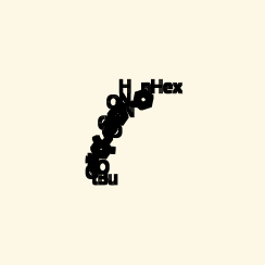 CCCCCC[C@@H]1CCC[C@H](C2=NC3(CCN(S(=O)(=O)CCc4c(C)cc(N(C)C(=O)OC(C)(C)C)cc4C)CC3)C(=O)N2)C1